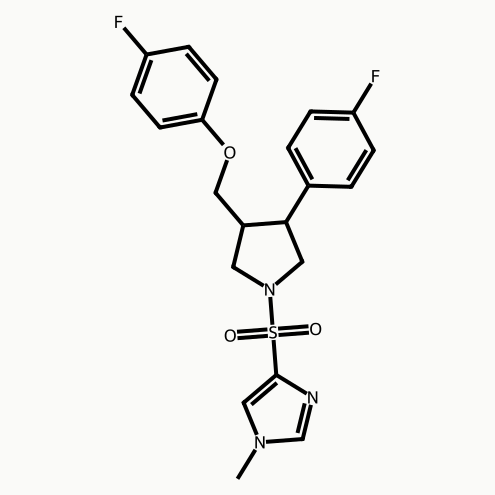 Cn1cnc(S(=O)(=O)N2CC(COc3ccc(F)cc3)C(c3ccc(F)cc3)C2)c1